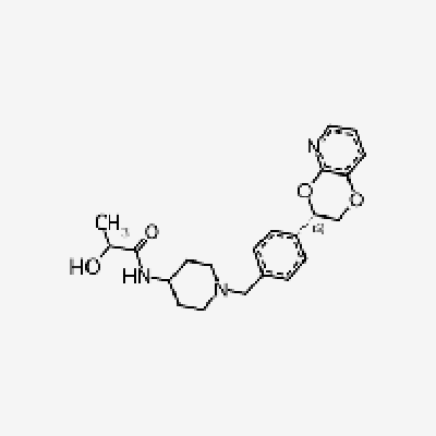 CC(O)C(=O)NC1CCN(Cc2ccc([C@H]3COc4cccnc4O3)cc2)CC1